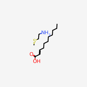 CCCCCCCCC=CC(=O)O.CSCCN